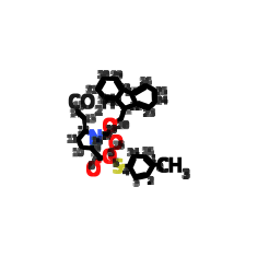 Cc1ccc(SOC(=O)C2CC[C@@H](CCC(=O)O)N2C(=O)OCC2c3ccccc3-c3ccccc32)cc1